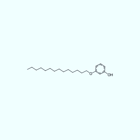 CCCCCCCCCCCCCCOc1cccc(O)c1